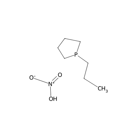 CCCP1CCCC1.O=[N+]([O-])O